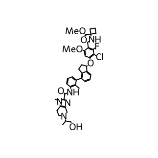 COC(=O)C1(NCc2c(OC)cc(OC3CCc4c(-c5cccc(NC(=O)c6nc7c(n6C)CCN(C(C)CO)C7)c5C)cccc43)c(Cl)c2F)CCC1